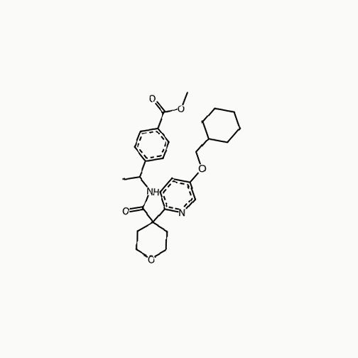 COC(=O)c1ccc(C(C)NC(=O)C2(c3ccc(OCC4CCCCC4)cn3)CCOCC2)cc1